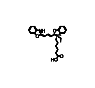 CC[N+]1(CCCCCC(=O)O)c2ccccc2OC1C=CC=C1Nc2ccccc2O1